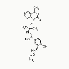 CSONOc1cc(C(O)CNC(C)(C)CCN2C(=O)OC(C)c3ccccc32)ccc1O